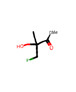 COC(=O)C(C)(O)CF